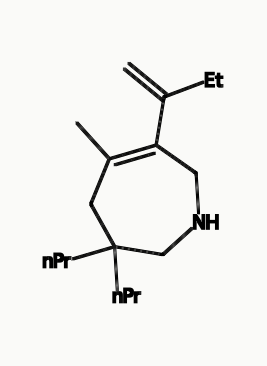 C=C(CC)C1=C(C)CC(CCC)(CCC)CNC1